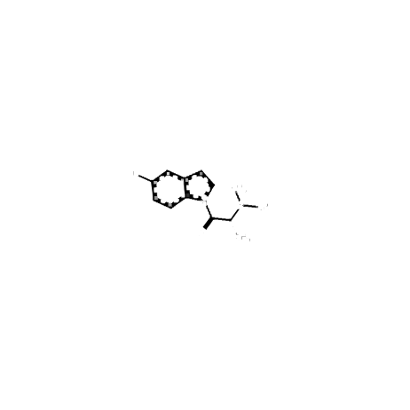 C[C@H](C(=O)n1ccc2cc(F)ccc21)N(C)C